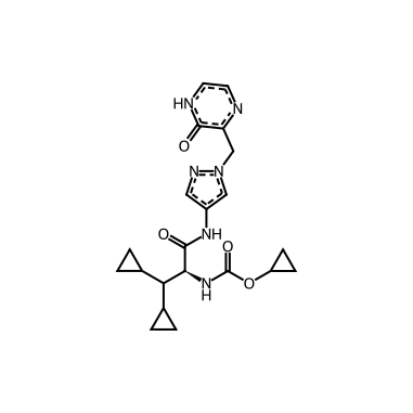 O=C(N[C@H](C(=O)Nc1cnn(Cc2ncc[nH]c2=O)c1)C(C1CC1)C1CC1)OC1CC1